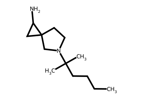 CCCCC(C)(C)N1CCC2(CC2N)C1